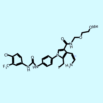 COCCOCNC(=O)c1cn(-c2ccc(NC(=O)Nc3ccc(Cl)c(C(F)(F)F)c3)cc2)c(CI)c1/C=C\N